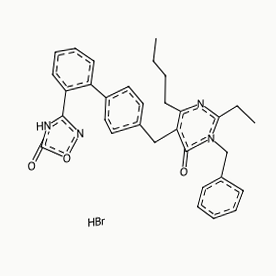 Br.CCCCc1nc(CC)n(Cc2ccccc2)c(=O)c1Cc1ccc(-c2ccccc2-c2noc(=O)[nH]2)cc1